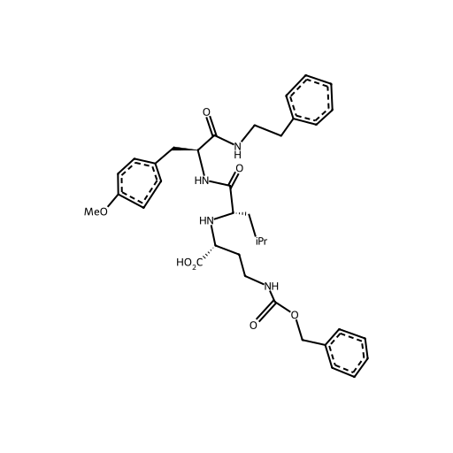 COc1ccc(C[C@H](NC(=O)[C@H](CC(C)C)N[C@H](CCNC(=O)OCc2ccccc2)C(=O)O)C(=O)NCCc2ccccc2)cc1